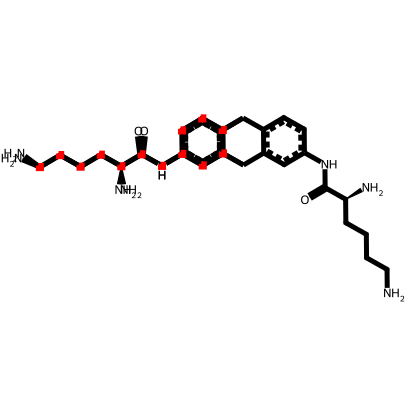 NCCCC[C@H](N)C(=O)Nc1ccc2c(c1)C1c3cc(NC(=O)[C@@H](N)CCCCN)ccc3C2c2ccc(NC(=O)[C@@H](N)CCCCN)cc21